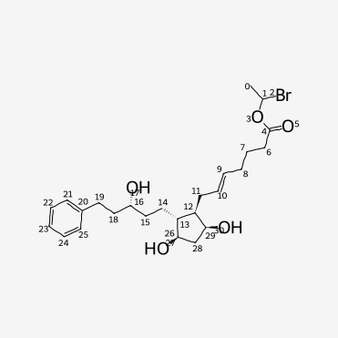 CC(Br)OC(=O)CCC/C=C/C[C@@H]1[C@@H](CC[C@@H](O)CCc2ccccc2)[C@H](O)C[C@@H]1O